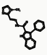 Cn1ccnc1C=NNC(=O)c1[nH]c2ccccc2c1-c1ccccc1